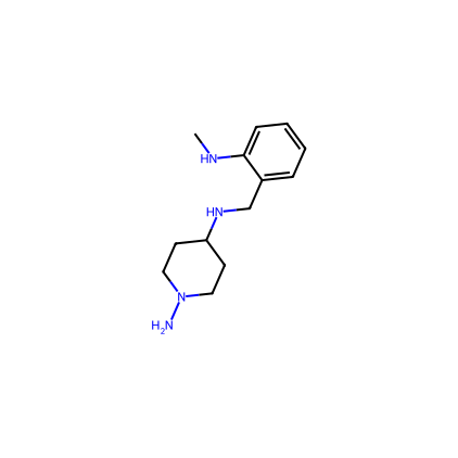 CNc1ccccc1CNC1CCN(N)CC1